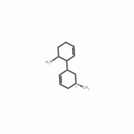 C[C@H]1CC=CC(C2C=CCCC2N)C1